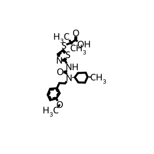 COc1cccc(CCN(C(=O)Nc2ncc(SC(C)(C)C(=O)O)s2)[C@H]2CC[C@H](C)CC2)c1